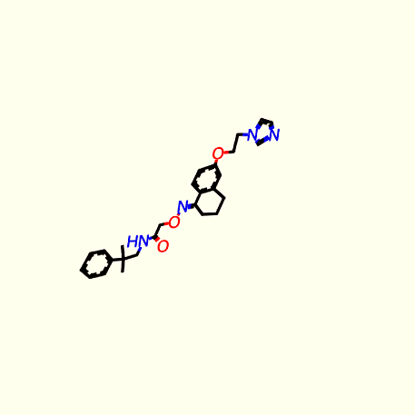 CC(C)(CNC(=O)CON=C1CCCc2cc(OCCn3ccnc3)ccc21)c1ccccc1